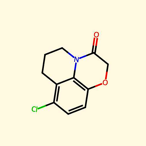 O=C1COc2ccc(Cl)c3c2N1CCC3